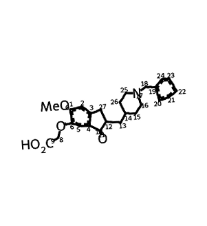 COc1cc2c(cc1OCC(=O)O)C(=O)C(CC1CCN(Cc3ccccc3)CC1)C2